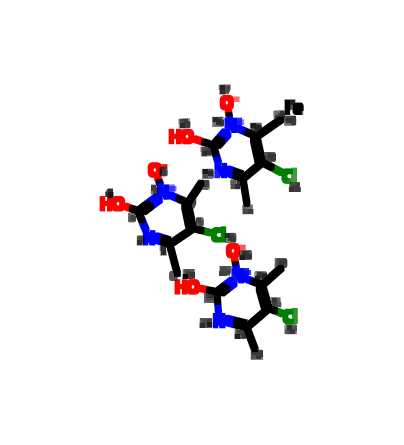 Cc1nc(O)[n+]([O-])c(C)c1Cl.Cc1nc(O)[n+]([O-])c(C)c1Cl.Cc1nc(O)[n+]([O-])c(C)c1Cl.[Fe]